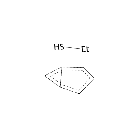 CCS.c1cc2cc-2c1